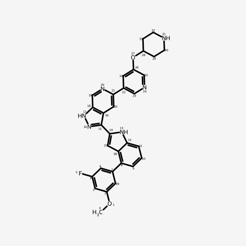 COc1cc(F)cc(-c2cccc3[nH]c(-c4n[nH]c5cnc(-c6cncc(OC7CCNCC7)c6)cc45)cc23)c1